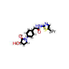 CC(C)c1cnc(NC(=O)Cc2ccc(N3CC[C@@H](O)C3=O)cc2)s1